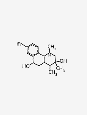 CC(C)c1ccc2c(c1)C(O)CC1C2[C@@H](C)CC(C)(O)C1C